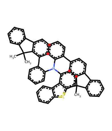 CC1(C)c2ccccc2-c2ccc(-c3ccccc3N(c3ccccc3-c3cccc4c3C(C)(C)c3ccccc3-4)c3cccc4sc5ccccc5c34)cc21